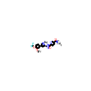 CCN(C)C(=O)c1ccc(C(=O)NC[C@H]2C[C@@H](c3ccc(OC(F)F)c(OC(C)C)c3)CN2C(C)=O)nc1